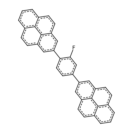 Fc1cc(-c2cc3ccc4cccc5ccc(c2)c3c45)ccc1-c1cc2ccc3cccc4ccc(c1)c2c34